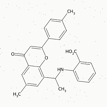 Cc1ccc(-c2cc(=O)c3cc(C)cc(C(C)Nc4ccccc4C(=O)O)c3o2)cc1